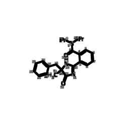 CC(C)N(C(=O)c1ccccc1C1=NC(=O)C(C)(Cc2ccccc2)N1)C(C)C